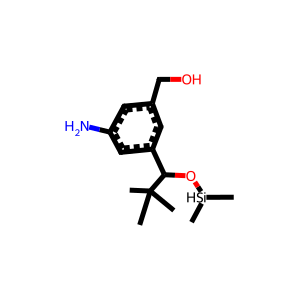 C[SiH](C)OC(c1cc(N)cc(CO)c1)C(C)(C)C